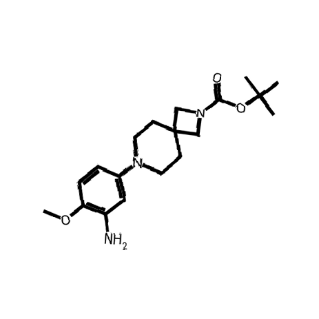 COc1ccc(N2CCC3(CC2)CN(C(=O)OC(C)(C)C)C3)cc1N